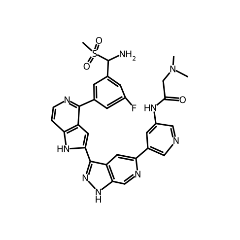 CN(C)CC(=O)Nc1cncc(-c2cc3c(-c4cc5c(-c6cc(F)cc(C(N)S(C)(=O)=O)c6)nccc5[nH]4)n[nH]c3cn2)c1